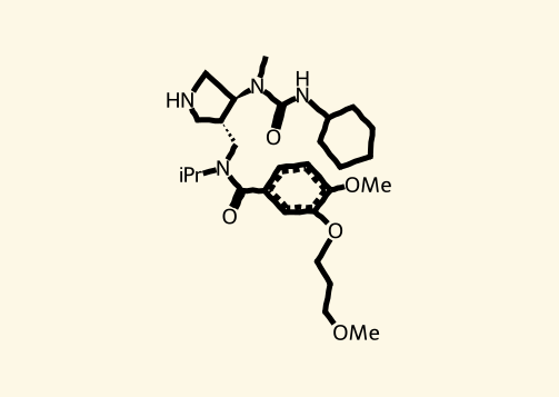 COCCCOc1cc(C(=O)N(C[C@@H]2CNC[C@H]2N(C)C(=O)NC2CCCCC2)C(C)C)ccc1OC